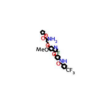 COc1cc2c(Oc3ccc(NC(=O)c4ccc(C(F)(F)F)cc4)cc3F)ccnc2cc1OCC[C@@H](N)C(=O)OC1CCCC1